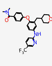 CN(C)C(=O)c1ccc(Oc2ccc(Nc3ccc(C(F)(F)F)cn3)cc2CC2CCOCC2)cc1